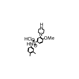 COc1ccc(S(=O)(=O)Nc2ccc(C)c(C)c2)cc1N1CCNCC1.Cl